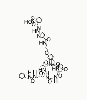 CC(C)C1NC(=O)C(CCCNC(=O)NCc2ccccc2)NC(=O)CNC(=O)[C@@H](CC(=O)O)NC(=O)[C@@H](Cc2ccc(OCCCNC(=O)c3ccc(NN=Cc4ccccc4S(=O)(=O)O)nc3)cc2)NC1=O